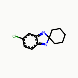 Clc1ccc2c(c1)=NC1(CCCCC1)N=2